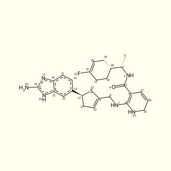 C[C@H](NC(=O)C1=C(NCC2=CC[C@@H](c3ccc4nc(N)[nH]c4c3)S2)NCC=C1)[C@H]1CC=C(F)CC1